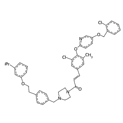 Cc1cc(C=CC(=O)N2CCN(Cc3ccc(CCOc4cccc(C(C)C)c4)cc3)CC2)cc(Cl)c1Oc1ccc(OCc2ccccc2Cl)cn1